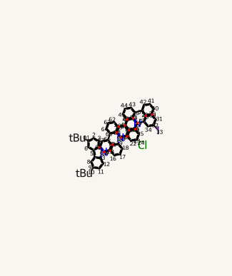 CC(C)(C)c1ccc2c(c1)c1cc(C(C)(C)C)ccc1n2-c1cccc(N(c2cc(Cl)cc(N(c3cccc(I)c3)c3c(-c4ccccc4)cccc3-c3ccccc3)c2)c2c(-c3ccccc3)cccc2-c2ccccc2)c1